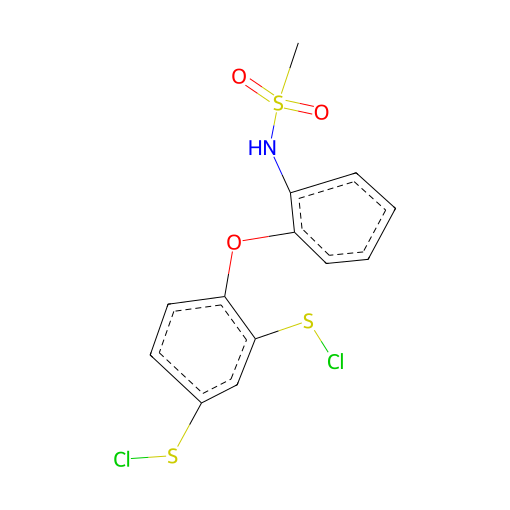 CS(=O)(=O)Nc1ccccc1Oc1ccc(SCl)cc1SCl